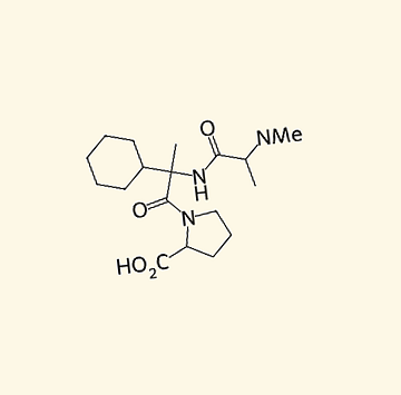 CNC(C)C(=O)NC(C)(C(=O)N1CCCC1C(=O)O)C1CCCCC1